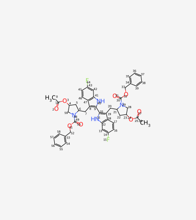 CC(=O)OC1CC(Cc2c(-c3[nH]c4cc(F)ccc4c3CC3CC(OC(C)=O)CN3C(=O)OCc3ccccc3)[nH]c3cc(F)ccc23)N(C(=O)OCc2ccccc2)C1